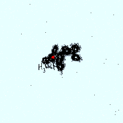 CC1(C)c2ccccc2-c2ccc(-n3c4ccccc4c4cc(-c5ccc6c(c5)C(c5ccccc5)c5ccccc5-6)cc(-n5c6ccccc6c6ccccc65)c43)cc21